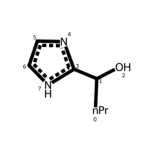 CCCC(O)c1ncc[nH]1